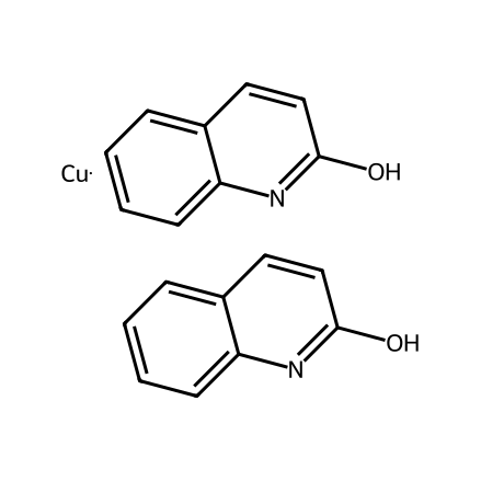 Oc1ccc2ccccc2n1.Oc1ccc2ccccc2n1.[Cu]